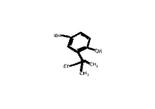 CCC(C)c1ccc(O)c(C(C)(C)CC)c1